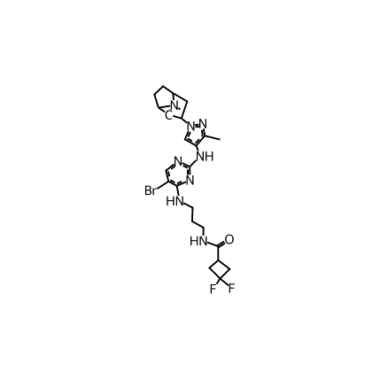 Cc1nn(C2CC3CCC(C2)N3C)cc1Nc1ncc(Br)c(NCCCNC(=O)C2CC(F)(F)C2)n1